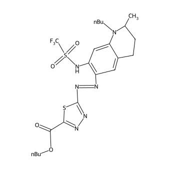 CCCCOC(=O)c1nnc(N=Nc2cc3c(cc2NS(=O)(=O)C(F)(F)F)N(CCCC)C(C)CC3)s1